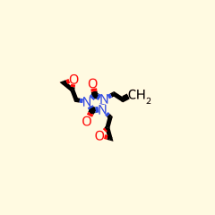 C=CCn1c(=O)n(CC2CO2)c(=O)n1CC1CO1